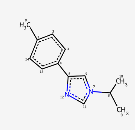 Cc1ccc(-c2cn(C(C)C)cn2)cc1